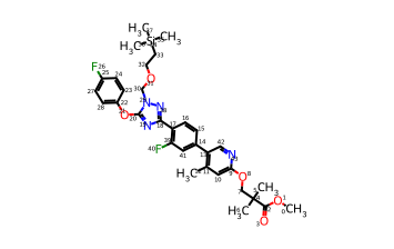 COC(=O)C(C)(C)COc1cc(C)c(-c2ccc(-c3nc(Oc4ccc(F)cc4)n(COCC[Si](C)(C)C)n3)c(F)c2)cn1